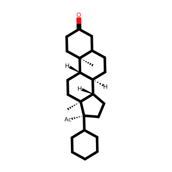 CC(=O)[C@@]1(C2CCCCC2)CC[C@H]2[C@@H]3CCC4CC(=O)CC[C@]4(C)[C@H]3CC[C@@]21C